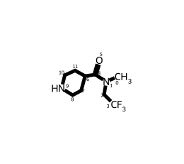 CN(CC(F)(F)F)C(=O)C1CCNCC1